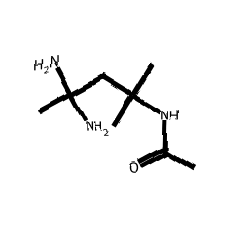 CC(=O)NC(C)(C)CC(C)(N)N